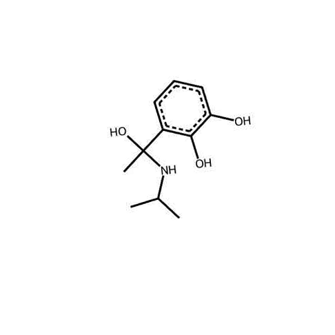 CC(C)NC(C)(O)c1cccc(O)c1O